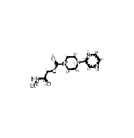 CCNC(=O)COC(=O)N1CCN(c2cnccn2)CC1